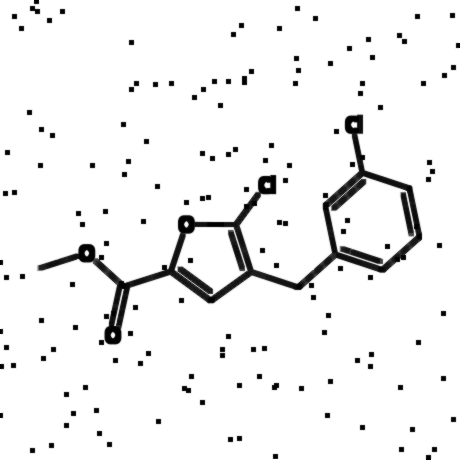 COC(=O)c1cc(Cc2cccc(Cl)c2)c(Cl)o1